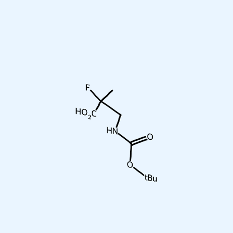 CC(C)(C)OC(=O)NCC(C)(F)C(=O)O